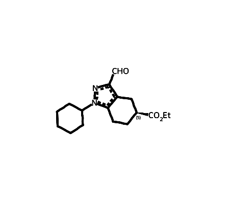 CCOC(=O)[C@H]1CCc2c(c(C=O)nn2C2CCCCC2)C1